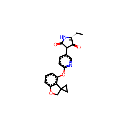 CC[C@H]1NC(=O)C(c2ccc(Oc3cccc4c3C3(CC3)CO4)nc2)C1=O